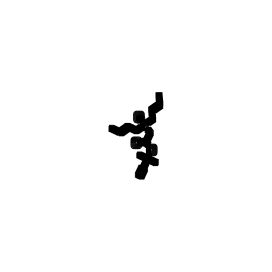 C#CC(C)(C)OC(=O)CP(=O)(C/C=C/C)C/C=C/C